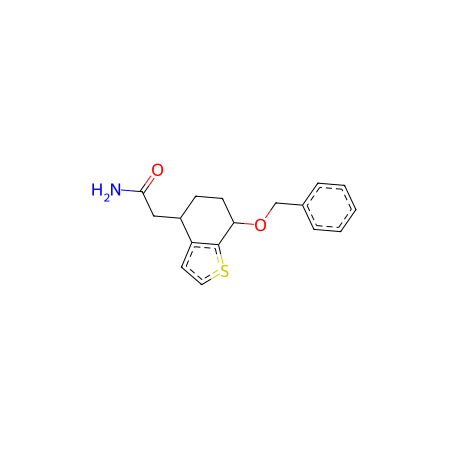 NC(=O)CC1CCC(OCc2ccccc2)c2sccc21